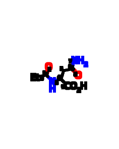 CCC(=O)NC(CC(N)=O)C(=O)O